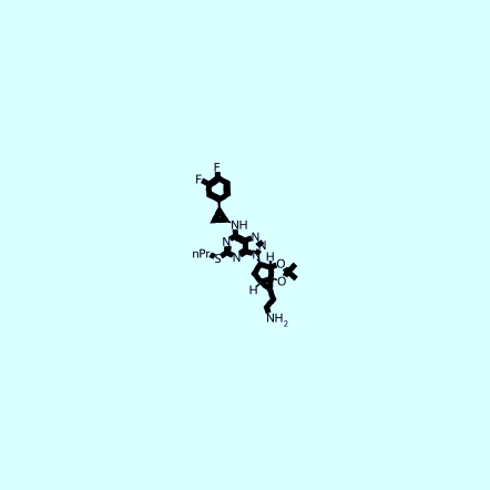 CCCSc1nc(N[C@@H]2C[C@H]2c2ccc(F)c(F)c2)c2nnn([C@@H]3C[C@@H]4C(CCN)[C@@]45OC(C)(C)O[C@@H]35)c2n1